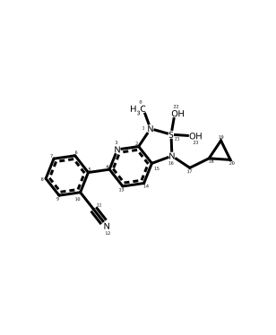 CN1c2nc(-c3ccccc3C#N)ccc2N(CC2CC2)S1(O)O